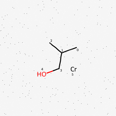 CC(C)CO.[Cr]